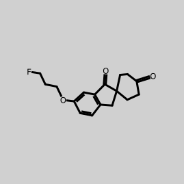 O=C1CCC2(CC1)Cc1ccc(OCCCF)cc1C2=O